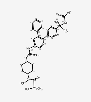 CC(C)C(=O)N(C)[C@H]1CC[C@H](CC(=O)Nc2cnc(-c3ccc(C(C)(C)NC(=O)O)cc3)c(-c3ccccc3)c2)CC1